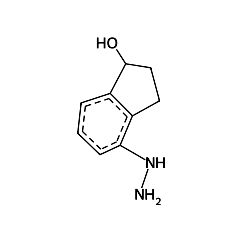 NNc1cccc2c1CCC2O